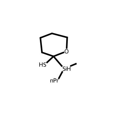 CCC[SiH](C)C1(S)CCCCO1